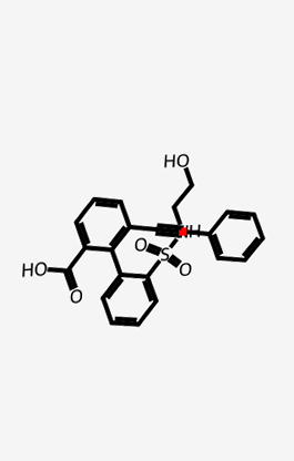 O=C(O)c1cccc(C#Cc2ccccc2)c1-c1ccccc1S(=O)(=O)NCCO